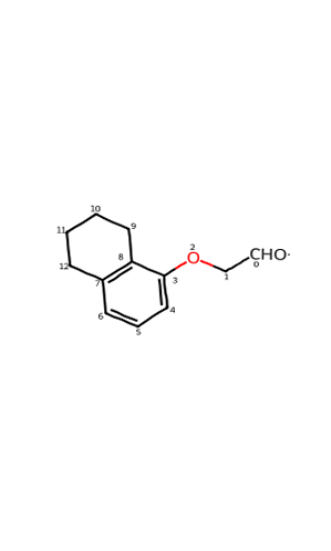 O=[C]COc1cccc2c1CCCC2